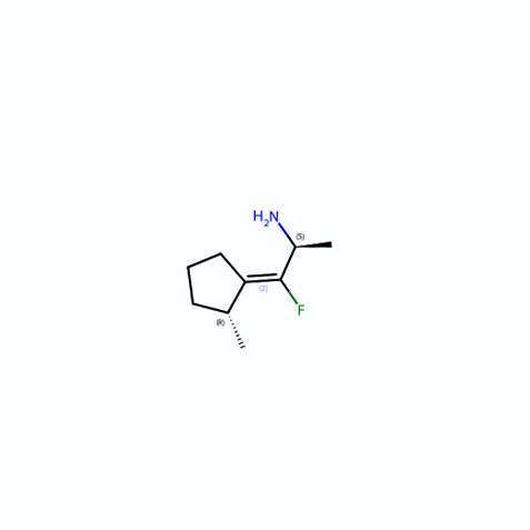 C[C@H](N)/C(F)=C1\CCC[C@H]1C